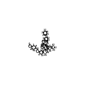 COc1ccc(COc2ccc3c(c2)C(C(=O)N[C@@H](Cc2ccc(-c4ccccc4)cc2)C(=O)O)N(C(=O)CC2CCCC2)CC3)cc1